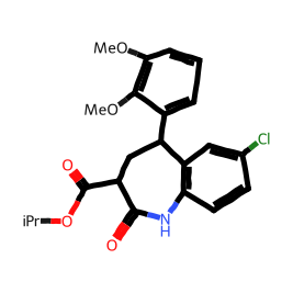 COc1cccc(C2CC(C(=O)OC(C)C)C(=O)Nc3ccc(Cl)cc32)c1OC